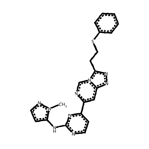 Cn1nccc1Nc1nccc(-c2cc3nnc(CCSc4ccccc4)n3cn2)n1